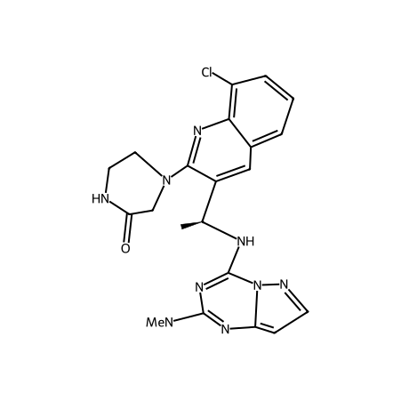 CNc1nc(N[C@@H](C)c2cc3cccc(Cl)c3nc2N2CCNC(=O)C2)n2nccc2n1